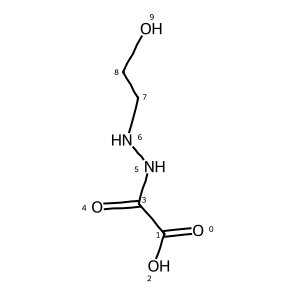 O=C(O)C(=O)NNCCO